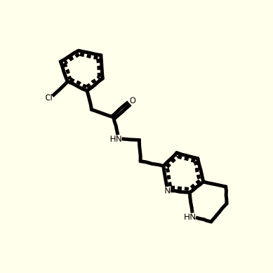 O=C(Cc1ccccc1Cl)NCCc1ccc2c(n1)NCCC2